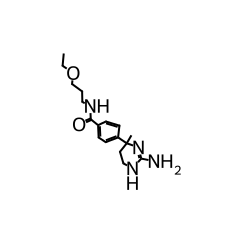 CCOCCCNC(=O)c1ccc(C2(C)CCNC(N)=N2)cc1